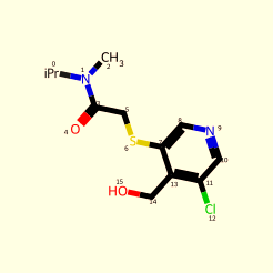 CC(C)N(C)C(=O)CSc1cncc(Cl)c1CO